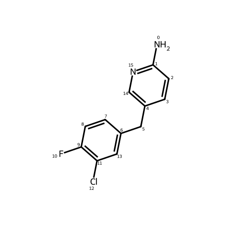 Nc1ccc(Cc2ccc(F)c(Cl)c2)cn1